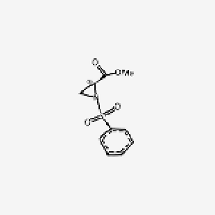 COC(=O)[C@@H]1CN1S(=O)(=O)c1ccccc1